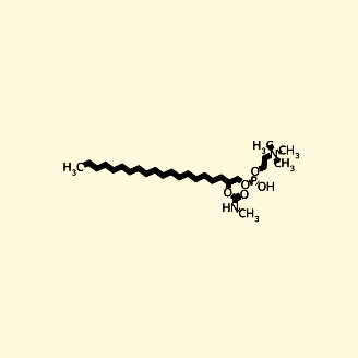 CCCCCCCCCCCCCCCCCCC(COP(O)OCC[N+](C)(C)C)OC(=O)NC